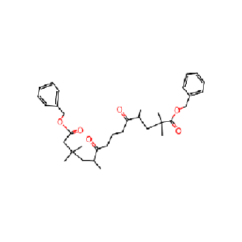 CC(CC(C)(C)CC(=O)OCc1ccccc1)C(=O)CCCC(=O)C(C)CC(C)(C)C(=O)OCc1ccccc1